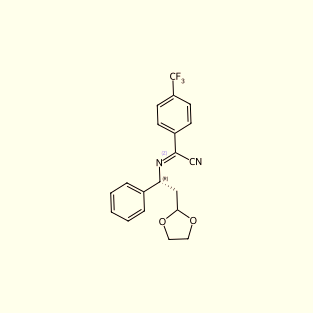 N#C/C(=N\[C@H](CC1OCCO1)c1ccccc1)c1ccc(C(F)(F)F)cc1